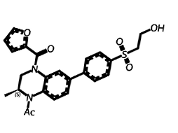 CC(=O)N1c2ccc(-c3ccc(S(=O)(=O)CCO)cc3)cc2N(C(=O)c2ccco2)C[C@@H]1C